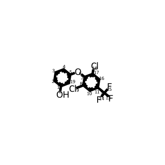 Oc1cccc(Oc2c(Cl)cc(C(F)(F)F)cc2Cl)c1